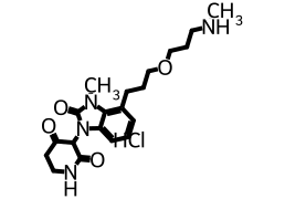 CNCCCOCCCc1cccc2c1n(C)c(=O)n2C1C(=O)CCNC1=O.Cl